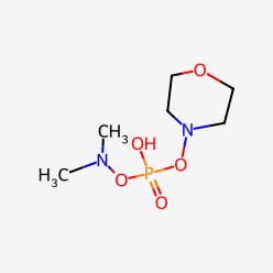 CN(C)OP(=O)(O)ON1CCOCC1